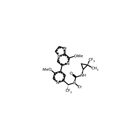 CCN(C(=O)N[C@H]1C[C@@]1(C)C(F)(F)F)[C@@H](c1cc(-c2cn3ccnc3c(OC)n2)c(OC)cn1)C(F)(F)F